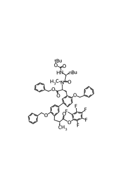 CCCC[C@H](NC(=O)OC(C)(C)C)C(=O)N(C)[C@@H](Cc1cc(-c2ccc(OCc3ccccc3)c(C[C@H](C)C(=O)Oc3c(F)c(F)c(F)c(F)c3F)c2)ccc1OCc1ccccc1)C(=O)OCc1ccccc1